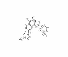 CC(=O)N1CCC(F)(c2cc3/c(=N/[C@H](C)c4cccc(C(F)(F)F)c4C)nc(C)n(C)c3cn2)CC1